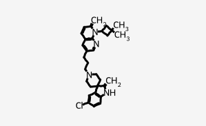 C=C1C=Cc2cc(CCCN3CCC4(CC3)C(=C)Nc3ccc(Cl)cc34)cnc2N1C1CC(C)(C)C1